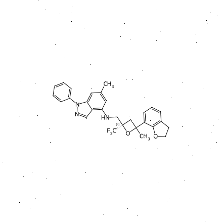 Cc1cc(NC[C@@]2(C(F)(F)F)CC(C)(c3cccc4c3OCC4)O2)c2cnn(-c3ccccc3)c2c1